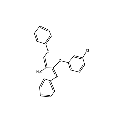 CC(=COc1ccccc1)C(=Nc1ccccc1)Oc1cccc(Cl)c1